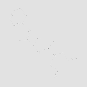 C=CCN(CC=C)C(=O)NS(=O)(=O)/C(C)=C/c1ccccc1